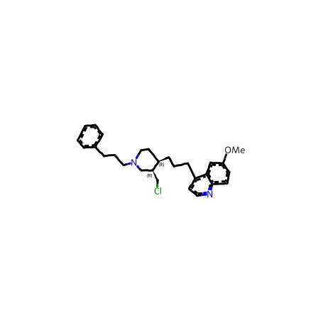 COc1ccc2nccc(CCC[C@@H]3CCN(CCCc4ccccc4)C[C@@H]3CCl)c2c1